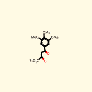 CCOC(=O)C(=O)CC(=O)c1cc(OC)c(OC)c(OC)c1